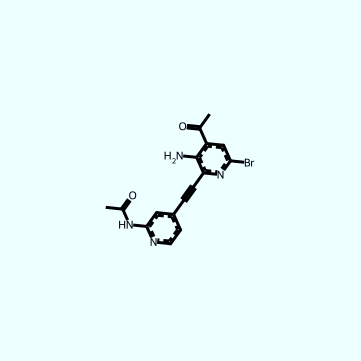 CC(=O)Nc1cc(C#Cc2nc(Br)cc(C(C)=O)c2N)ccn1